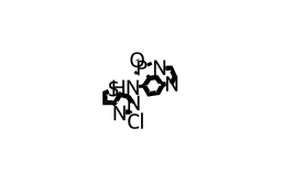 CP(C)(=O)c1c(Nc2nc(Cl)nc3ccsc23)ccc2nccnc12